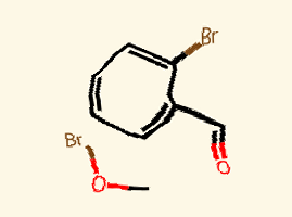 COBr.O=Cc1ccccc1Br